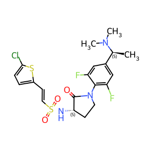 C[C@@H](c1cc(F)c(N2CC[C@H](NS(=O)(=O)C=Cc3ccc(Cl)s3)C2=O)c(F)c1)N(C)C